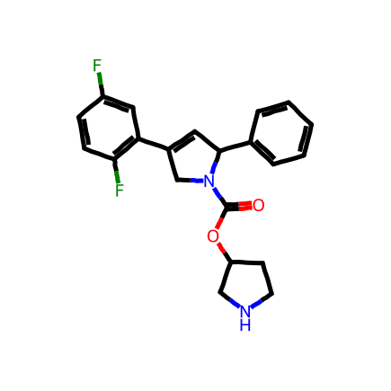 O=C(OC1CCNC1)N1CC(c2cc(F)ccc2F)=CC1c1ccccc1